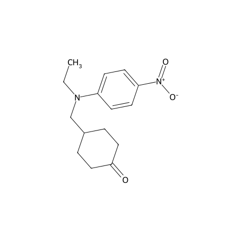 CCN(CC1CCC(=O)CC1)c1ccc([N+](=O)[O-])cc1